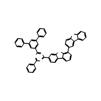 c1ccc(-c2cc(-c3ccccc3)cc(-c3nc(-c4ccccc4)nc(-c4ccc5c(c4)oc4c(-c6ccc7oc8ccccc8c7c6)cccc45)n3)c2)cc1